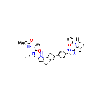 CCCC(=O)N1[C@@H]2CC[C@@H](C2)[C@H]1c1ncc(-c2ccc(-c3ccc4c(ccc5cc([C@@H]6C[C@H](C)CN6C(=O)[C@@H](NC(=O)OC)C(C)C)[nH]c54)c3)cc2)[nH]1